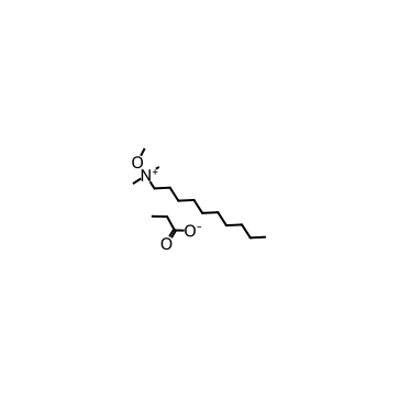 CCC(=O)[O-].CCCCCCCCCC[N+](C)(C)OC